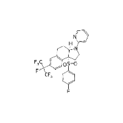 O=S(=O)(c1ccc(F)cc1)[C@@]12CCN(c3ccccn3)[C@@H]1CCc1cc(C(F)(C(F)(F)F)C(F)(F)F)ccc12